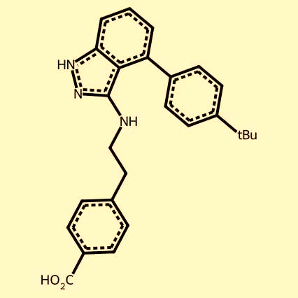 CC(C)(C)c1ccc(-c2cccc3[nH]nc(NCCc4ccc(C(=O)O)cc4)c23)cc1